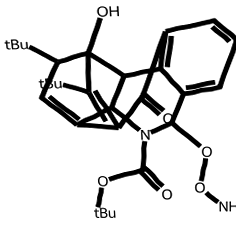 CC(C)(C)OC(=O)N1C(OON)c2cccc3c2C2C1C1=CC(C(C)(C)C)C2(O)C(C(C)(C)C)=C1C3=O